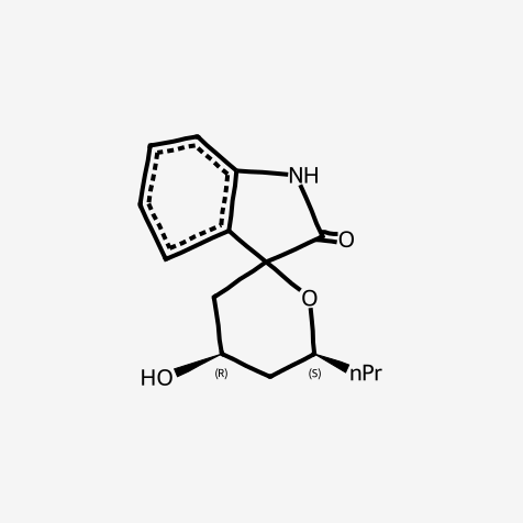 CCC[C@H]1C[C@@H](O)CC2(O1)C(=O)Nc1ccccc12